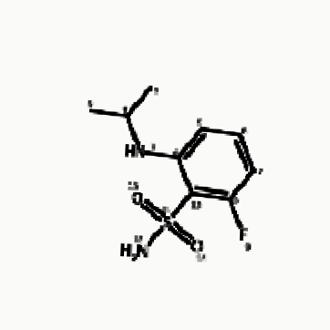 CC(C)Nc1cccc(F)c1S(N)(=O)=O